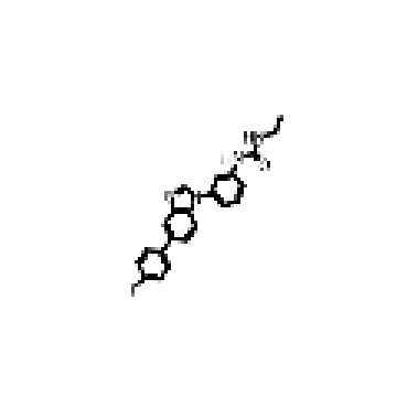 CCNC(=O)Nc1cccc(-n2cnc3cc(-c4ccc(F)cc4)ccc32)c1